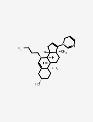 CCCC[C@@H]1C=C2C[C@@H](O)CC[C@]2(C)[C@H]2CC[C@]3(C)C(N4C=NC=CC4)=CC[C@H]3[C@H]12